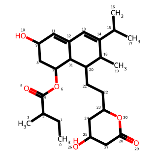 CCC(C)C(=O)OC1CC(O)C=C2C=C(C(C)C)C(C)C(CCC3CC(O)CC(=O)O3)C21